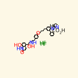 F.F.O=C(O)N(c1ccc(CCCCOc2ccc(CCNC[C@@H](O)c3ccc(O)c4[nH]c(=O)ccc34)cc2)cc1-c1ccccc1)[C@H]1CN2CCC1CC2